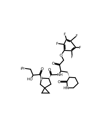 CC(C)CC(O)C(=O)N1CC2(CC2)C[C@H]1C(=O)NC(C[C@@H]1CCCNC1=O)C(=O)COc1c(F)c(F)c(F)c(F)c1F